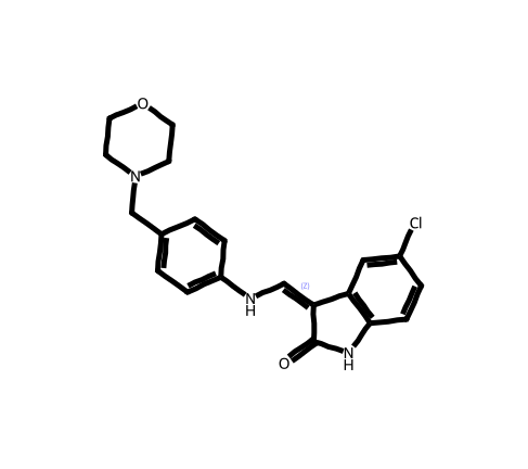 O=C1Nc2ccc(Cl)cc2/C1=C/Nc1ccc(CN2CCOCC2)cc1